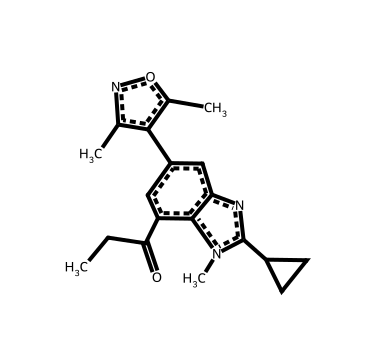 CCC(=O)c1cc(-c2c(C)noc2C)cc2nc(C3CC3)n(C)c12